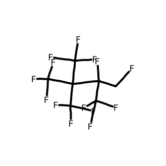 FCC(F)(C(F)(F)F)C(C(F)(F)F)(C(F)(F)F)C(F)(F)F